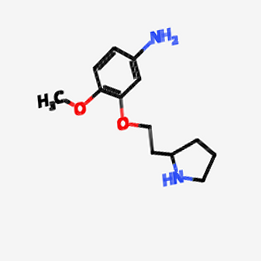 COc1ccc(N)cc1OCCC1CCCN1